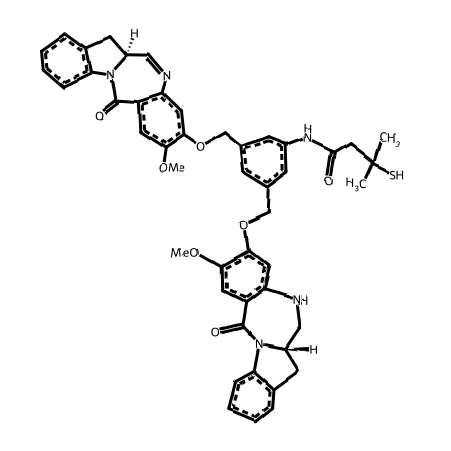 COc1cc2c(cc1OCc1cc(COc3cc4c(cc3OC)C(=O)N3c5ccccc5C[C@H]3CN4)cc(NC(=O)CC(C)(C)S)c1)N=C[C@@H]1Cc3ccccc3N1C2=O